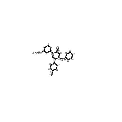 CC(=O)Nc1cccc(-n2cc(-c3ccc(F)cc3)c(Oc3ccccc3)cc2=O)c1